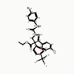 CCOC(=O)C1(c2ccc(C(F)(F)F)cc2)CN(C(=O)Nc2ccc(Br)cc2)N=C1c1ccc(Cl)cc1